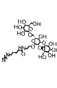 [N-]=[N+]=NCCCCC(=O)NCCO[C@@H]1O[C@H](CO[C@H]2O[C@H](CO)[C@@H](O)[C@H](O)[C@@H]2O)[C@@H](O)[C@H](O[C@H]2O[C@H](CO)[C@@H](O)[C@H](O)[C@@H]2O)[C@@H]1O